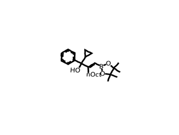 CCCCCCCC/C(=C\B1OC(C)(C)C(C)(C)O1)C(O)(c1ccccc1)C1CC1